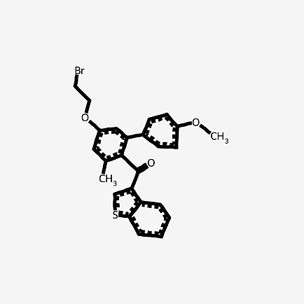 COc1ccc(-c2cc(OCCBr)cc(C)c2C(=O)c2csc3ccccc23)cc1